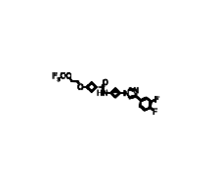 O=C(NC12CC(n3cnc(-c4ccc(F)c(F)c4)c3)(C1)C2)[C@H]1C[C@H](OCCOC(F)(F)F)C1